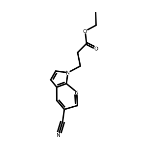 CCOC(=O)CCn1ccc2cc(C#N)cnc21